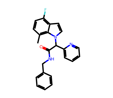 Cc1ccc(F)c2ccn(C(C(=O)NCc3ccccc3)c3ccccn3)c12